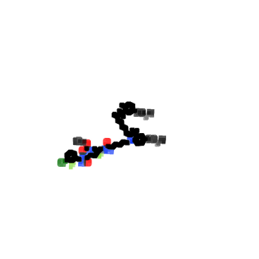 C=C(/C=C/C=C/C=C1/N(CCCCCC(=O)NC[C@@]2(F)C[C@@H](C(=O)NCc3cccc(Cl)c3F)N(C(=O)OC(C)(C)C)C2)c2ccc(S(=O)(=O)O)cc2C1(C)C)C(C)(C)c1cc(S(=O)(=O)O)ccc1C